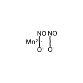 O=N[O-].O=N[O-].[Mn+2]